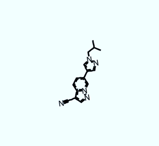 CC(C)Cn1cc(-c2ccc3c(C#N)cnn3c2)cn1